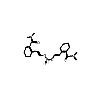 CN(C)C(=O)C1=C(/C=C/O[PH](=O)O/C=C/C2=C(C(=O)N(C)C)CCCC2)CCCC1